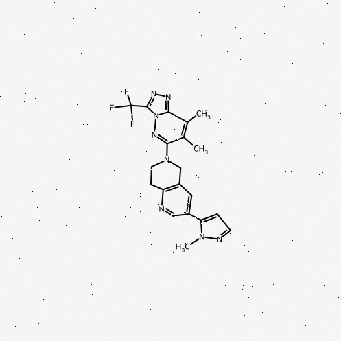 Cc1c(N2CCc3ncc(-c4ccnn4C)cc3C2)nn2c(C(F)(F)F)nnc2c1C